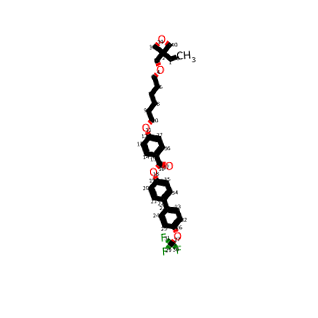 CCC1(COCCCCCCOc2ccc(C(=O)Oc3ccc(-c4ccc(OC(F)(F)F)cc4)cc3)cc2)COC1